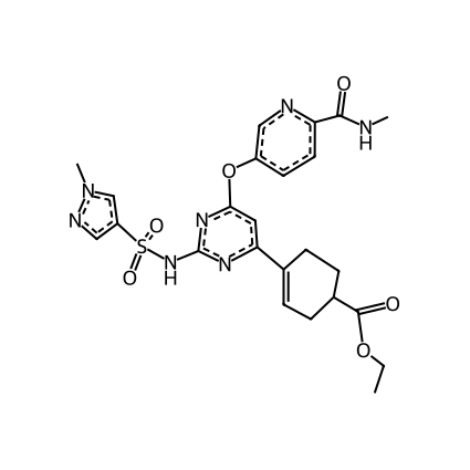 CCOC(=O)C1CC=C(c2cc(Oc3ccc(C(=O)NC)nc3)nc(NS(=O)(=O)c3cnn(C)c3)n2)CC1